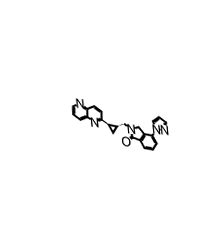 O=C1c2cccc(-n3cccn3)c2CN1C[C@@H]1C[C@H]1c1ccc2ncccc2n1